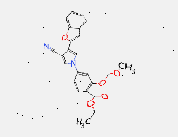 CCOC(=O)c1ccc(-n2cc(C#N)c(-c3cc4ccccc4o3)c2)cc1OCOC